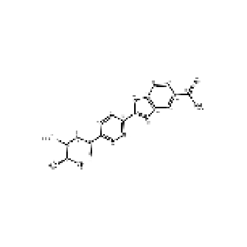 C[C@H](O)C(NC(=O)c1ccc(-c2nc3cc(C(=N)N)ccc3[nH]2)nc1)C(=O)O